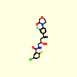 O=C(NCC(O)C[AsH]c1ccc(N2CCOCC2=O)c(F)c1)C1=CC(Cl)=CCC1=S